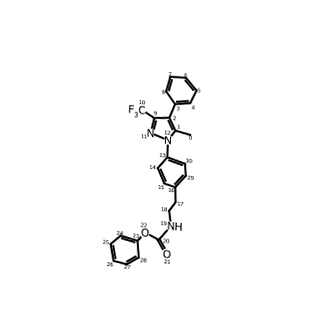 Cc1c(-c2ccccc2)c(C(F)(F)F)nn1-c1ccc(CCNC(=O)Oc2ccccc2)cc1